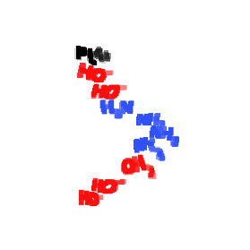 N.N.N.N.O.[OH-].[OH-].[OH-].[OH-].[Pt+4]